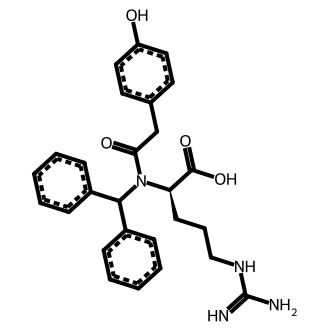 N=C(N)NCCC[C@H](C(=O)O)N(C(=O)Cc1ccc(O)cc1)C(c1ccccc1)c1ccccc1